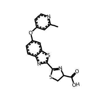 Cc1cc(Oc2ccc3nc(C4=NC(C(=O)O)CS4)sc3c2)ccn1